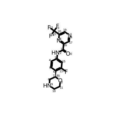 O=C(Nc1ccc([C@@H]2CNCCO2)c(F)c1)c1cncc(C(F)(F)F)n1